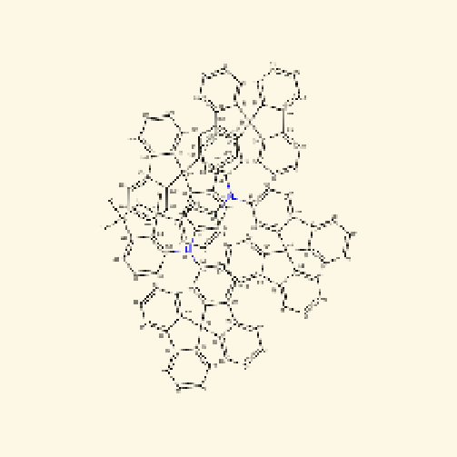 CC1(C)CC(C)(c2cccc(N(c3ccc4c(c3)C3(c5ccccc5-c5ccccc53)c3ccccc3-4)c3ccc4c(c3)C3(c5ccccc5-c5ccccc53)c3ccccc3-4)c2)c2c(N(c3ccc4c(c3)C3(c5ccccc5-c5ccccc53)c3ccccc3-4)c3ccc4c(c3)C3(c5ccccc5-c5ccccc53)c3ccccc3-4)cccc21